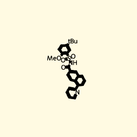 COc1ccc(C(C)(C)C)cc1S(=O)(=O)NC(=O)c1ccc2c(-c3ccccn3)cccc2c1